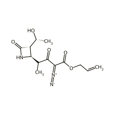 C=CCOC(=O)C(=[N+]=[N-])C(=O)C(C)[C@H]1NC(=O)[C@@H]1[C@@H](C)O